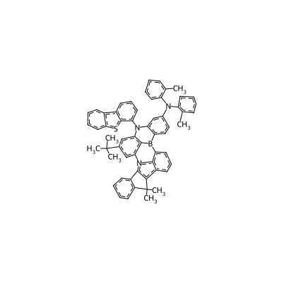 Cc1ccccc1N(c1ccc2c(c1)N(c1cccc3c1sc1ccccc13)c1cc(C(C)(C)C)cc3c1B2c1cccc2c4c(n-3c12)-c1ccccc1C4(C)C)c1ccccc1C